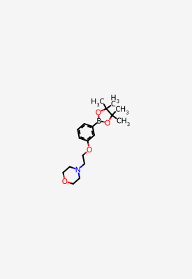 CC1(C)OB(c2cccc(OCCN3CCOCC3)c2)OC1(C)C